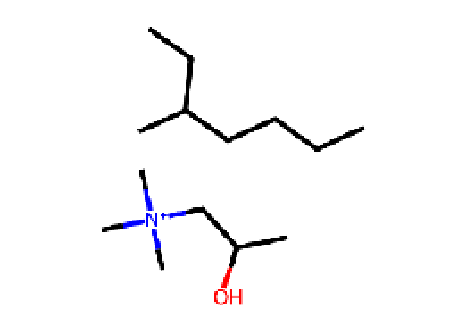 CC(O)C[N+](C)(C)C.CCCCC(C)CC